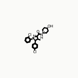 CC1C(C(=O)NN2CCC(O)CC2)=NN(c2ccccc2Cl)C1c1ccc(Cl)cc1